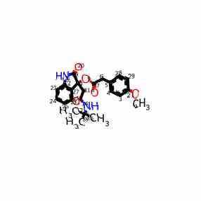 COc1ccc(CC(=O)OC2(CC(=O)NC(C)(C)C)C(=O)Nc3ccccc32)cc1